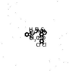 COc1cc(NC(C)CCCN2C(=O)c3ccccc3C2=O)c2c(c1Oc1ccc(Cl)c(Cl)c1)CC=CN2C